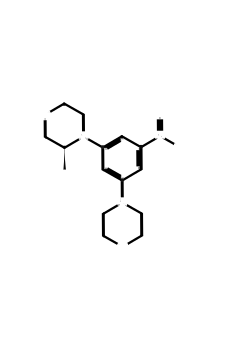 C[C@H]1COCCN1c1cc(N2CCOCC2)cc([N+](=O)[O-])c1